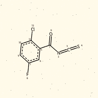 O=C(N=C=S)c1cc(F)ccc1Cl